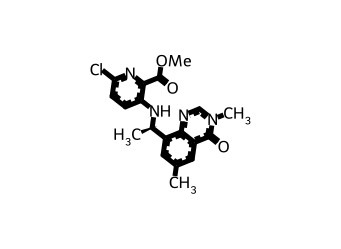 COC(=O)c1nc(Cl)ccc1N[C@H](C)c1cc(C)cc2c(=O)n(C)cnc12